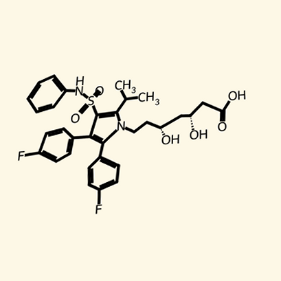 CC(C)c1c(S(=O)(=O)Nc2ccccc2)c(-c2ccc(F)cc2)c(-c2ccc(F)cc2)n1CC[C@@H](O)C[C@@H](O)CC(=O)O